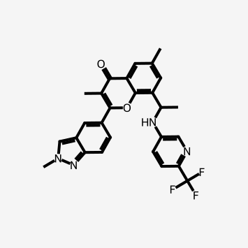 Cc1cc(C(C)Nc2ccc(C(F)(F)F)nc2)c2oc(-c3ccc4nn(C)cc4c3)c(C)c(=O)c2c1